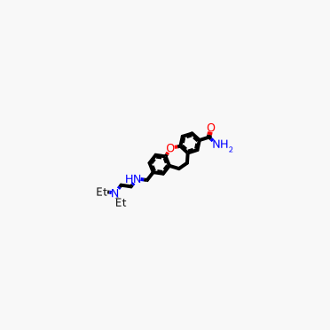 CCN(CC)CCNCc1ccc2c(c1)CCc1cc(C(N)=O)ccc1O2